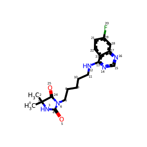 CC1(C)NC(=O)N(CCCCCNc2ncnc3cc(F)ccc23)C1=O